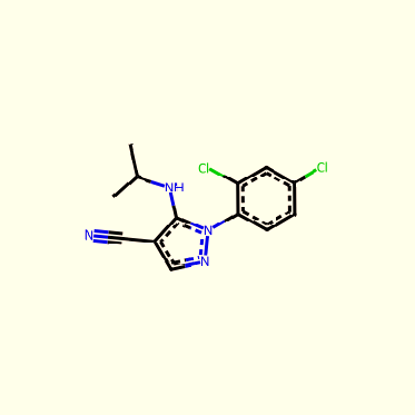 CC(C)Nc1c(C#N)cnn1-c1ccc(Cl)cc1Cl